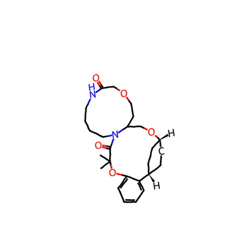 CC1(C)Oc2ccccc2[C@H]2CC[C@H](CC2)OCC2CCOCC(=O)NCCCCN2C1=O